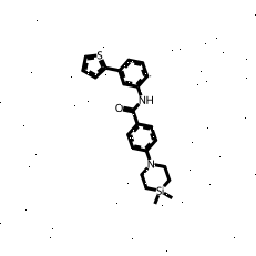 C[Si]1(C)CCN(c2ccc(C(=O)Nc3[c]ccc(-c4cccs4)c3)cc2)CC1